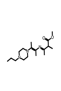 CCCN1CCN(/C(C)=C(C)/N=C(\C)C(C)C(=O)OC)CC1